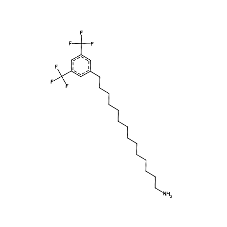 NCCCCCCCCCCCCCCc1cc(C(F)(F)F)cc(C(F)(F)F)c1